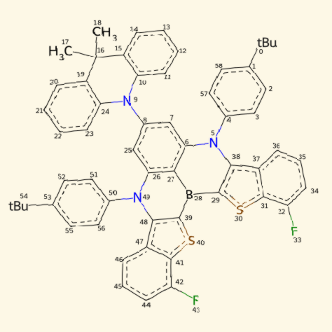 CC(C)(C)c1ccc(N2c3cc(N4c5ccccc5C(C)(C)c5ccccc54)cc4c3B(c3sc5c(F)cccc5c32)c2sc3c(F)cccc3c2N4c2ccc(C(C)(C)C)cc2)cc1